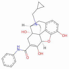 O=C(Nc1ccccc1)C1=C(O)[C@@H]2Oc3c(O)ccc4c3[C@@]23CCN(CC2CC2)[C@H](C4)[C@]3(O)C1